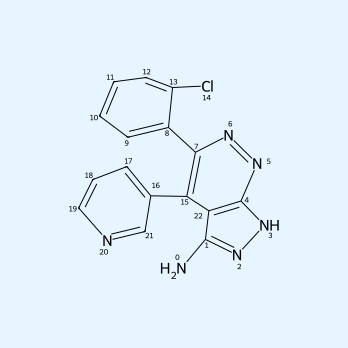 Nc1n[nH]c2nnc(-c3ccccc3Cl)c(-c3cccnc3)c12